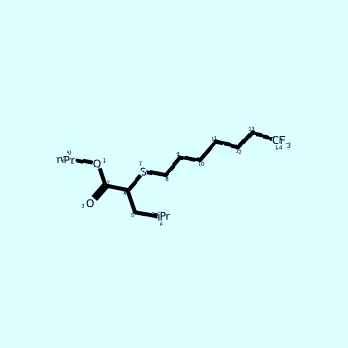 CCCOC(=O)C(CC(C)C)SCCCCCCC(F)(F)F